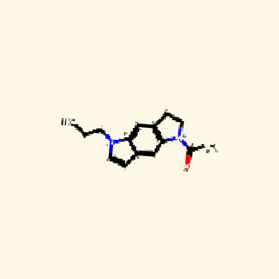 CCCn1ccc2cc3c(cc21)CCN3C(C)=O